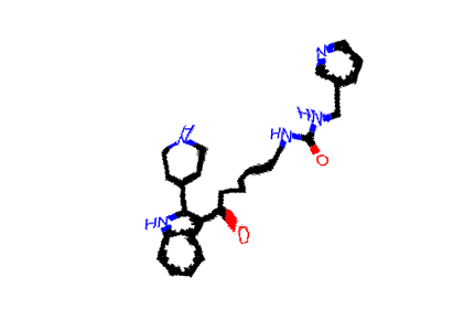 O=C(NCCCCC(=O)c1c(C2CCNCC2)[nH]c2ccccc12)NCc1cccnc1